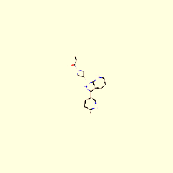 C=CC(=O)N1CC(n2nc(-c3ccc(C(F)(F)F)nc3)c3cccnc32)C1